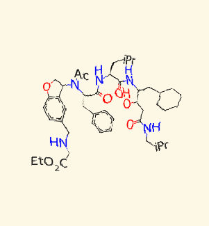 CCOC(=O)CNCc1ccc2c(c1)C(N(C(C)=O)[C@@H](Cc1ccccc1)C(=O)N[C@@H](CC(C)C)C(=O)NC(CC1CCCCC1)C(O)CC(=O)NCC(C)C)CO2